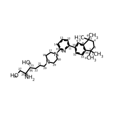 CC1(C)CCC(C)(C)c2cc(-c3cccc(N4CCN(CCC[C@@H](O)[C@@H](N)CO)CC4)n3)ccc21